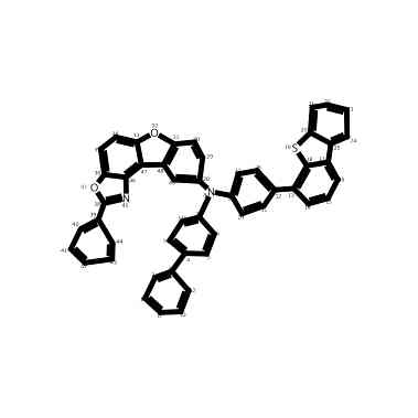 c1ccc(-c2ccc(N(c3ccc(-c4cccc5c4sc4ccccc45)cc3)c3ccc4oc5ccc6oc(-c7ccccc7)nc6c5c4c3)cc2)cc1